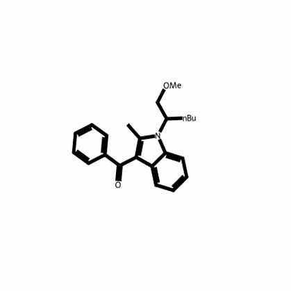 CCCCC(COC)n1c(C)c(C(=O)c2ccccc2)c2ccccc21